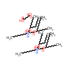 CCCCCCCCCCCC(=O)N[C@@H](CCC(=O)OCC(CCCCCCCC)CCCCCCCCCC)C(=O)OCC(CCCCCCCC)CCCCCCCCCC.CCCCCCCCCCCC(=O)N[C@@H](CCC(=O)OCC(CCCCCCCC)CCCCCCCCCC)C(=O)OCC(CCCCCCCC)CCCCCCCCCC.O=C(O)CCCCC(=O)O